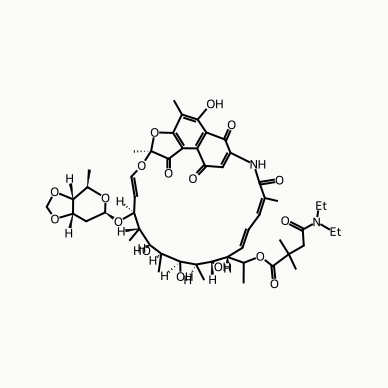 CCN(CC)C(=O)CC(C)(C)C(=O)OC(C)[C@H]1/C=C/C=C(/C)C(=O)NC2=CC(=O)c3c(c(O)c(C)c4c3C(=O)[C@@](C)(O/C=C/[C@H](O[C@H]3C[C@@H]5OCO[C@@H]5[C@@H](C)O3)[C@@H](C)[C@@H](O)[C@H](C)[C@H](O)[C@H](C)[C@H]1O)O4)C2=O